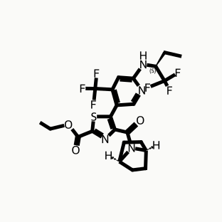 CCOC(=O)c1nc(C(=O)N2[C@H]3CC[C@@H]2CC3)c(-c2cnc(N[C@@H](CC)C(F)(F)F)cc2C(F)(F)F)s1